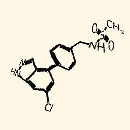 CS(=O)(=O)NCc1ccc(-c2cc(Cl)cc3[nH]ncc23)cc1